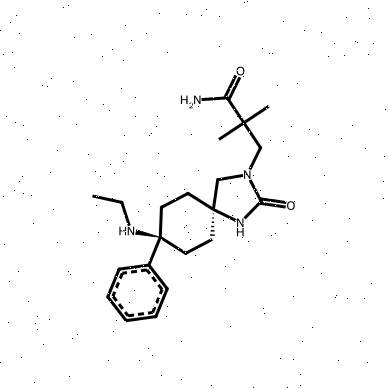 CCN[C@]1(c2ccccc2)CC[C@]2(CC1)CN(CC(C)(C)C(N)=O)C(=O)N2